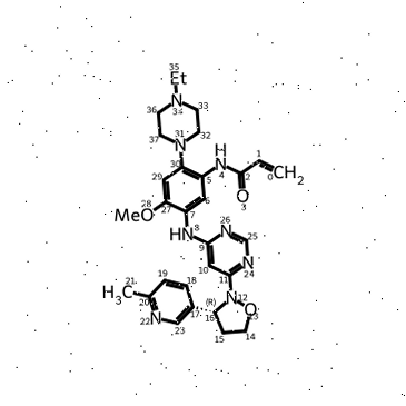 C=CC(=O)Nc1cc(Nc2cc(N3OCC[C@@H]3c3ccc(C)nc3)ncn2)c(OC)cc1N1CCN(CC)CC1